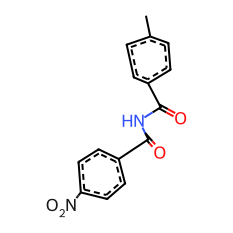 Cc1ccc(C(=O)NC(=O)c2ccc([N+](=O)[O-])cc2)cc1